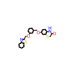 O=C1CSc2cc(OCc3cccc(OCc4nc5ccccc5s4)c3)ccc2N1